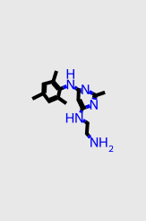 Cc1cc(C)c(Nc2cc(NCCN)nc(C)n2)c(C)c1